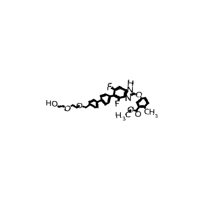 COC(=O)c1cc(Oc2nc3c(F)c(-c4ccc(-c5ccc(COCCOCCO)cc5)cc4)c(F)cc3[nH]2)ccc1C